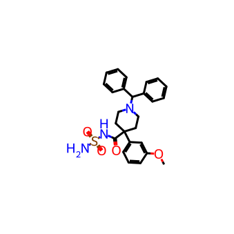 COc1cccc(C2(C(=O)NS(N)(=O)=O)CCN(C(c3ccccc3)c3ccccc3)CC2)c1